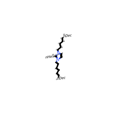 CCCCCCCCCCCCCCCCN1C=CN(CCCCCCCCCCCCCCC)C1CCCCCC